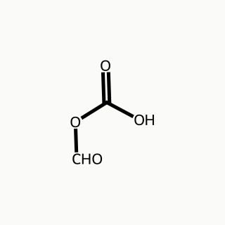 O=COC(=O)O